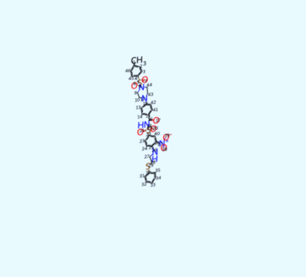 Cc1ccc(S(=O)(=O)N2CCN(c3ccc(C(=O)NS(=O)(=O)c4ccc(NCCSc5ccccc5)c([N+](=O)[O-])c4)cc3)CC2)cc1